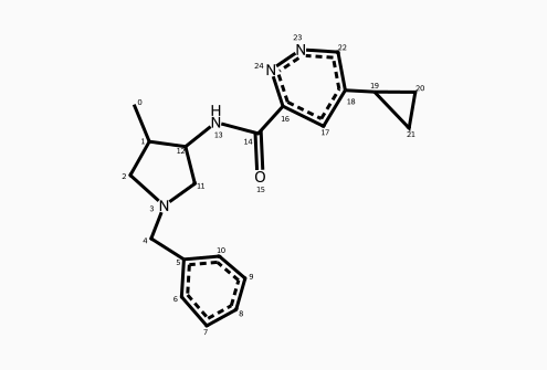 CC1CN(Cc2ccccc2)CC1NC(=O)c1cc(C2CC2)cnn1